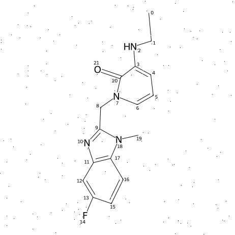 CCNc1cccn(Cc2nc3cc(F)ccc3n2C)c1=O